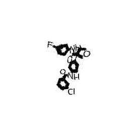 O=C(Nc1ccc([C@@]2(C(=O)Nc3ccc(F)cc3)CCOC2)cc1)c1cccc(Cl)c1